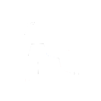 COCC1CC(CO)N(C(=O)OC(C)(C)C)C1